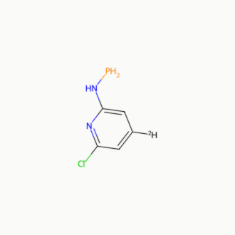 [2H]c1cc(Cl)nc(NP)c1